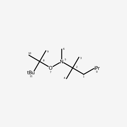 CC(C)CC(C)(C)N(C)OC(C)(C)C(C)(C)C